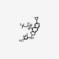 Cn1nc(O)cc1NC1Cc2cc3cnc(C4CC4)cc3c(S(=O)(=O)NCC(C)(C)F)c2C1